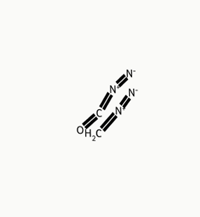 C=[N+]=[N-].[N-]=[N+]=C=O